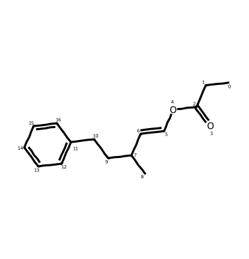 CCC(=O)OC=CC(C)CCc1ccccc1